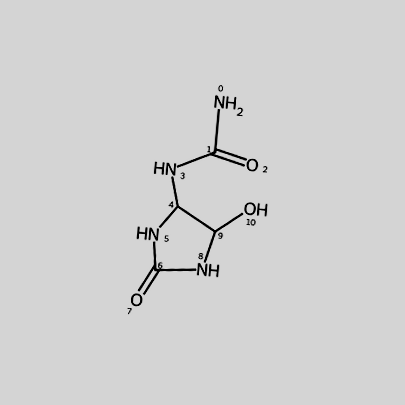 NC(=O)NC1NC(=O)NC1O